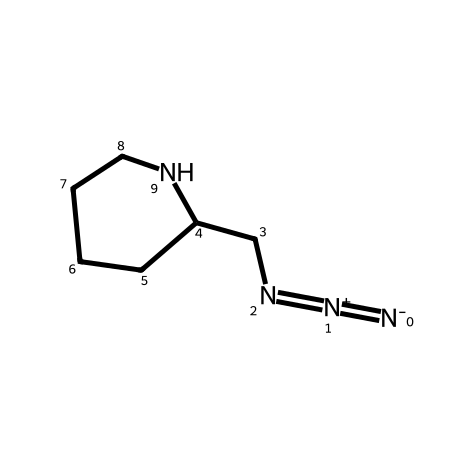 [N-]=[N+]=NCC1CCCCN1